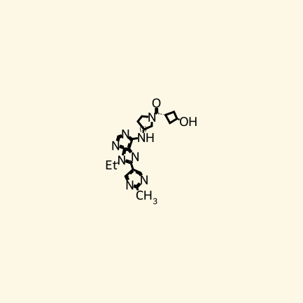 CCn1c(-c2cnc(C)nc2)nc2c(N[C@H]3CCN(C(=O)[C@H]4C[C@H](O)C4)C3)ncnc21